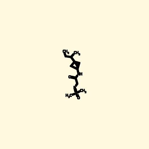 CCC(C)C12CC(NC(=O)CN=S(C)(C)=O)(C1)C2